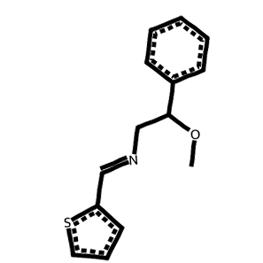 COC(CN=Cc1cccs1)c1ccccc1